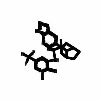 CN(C(=O)Nc1cc(C(F)(F)F)cn(C)c1=O)C1C2CCC1CN(c1cnc3[nH]ncc3c1)C2